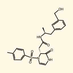 Cc1ccc(S(=O)(=O)N2C=CNC(=O)[C@H]2CC(=O)N[C@@H](C)Cc2cccc(CO)c2)cc1